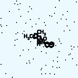 Cc1cc(C)c2cc(C(=O)NC34CCC5CCC(CC5C3)C4)[nH]c2c1